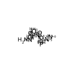 CCN1CCN(Cc2ccc(NC(=O)c3ccc(C)c(Oc4cc(N)ncn4)c3)cc2C(F)(F)F)CC1